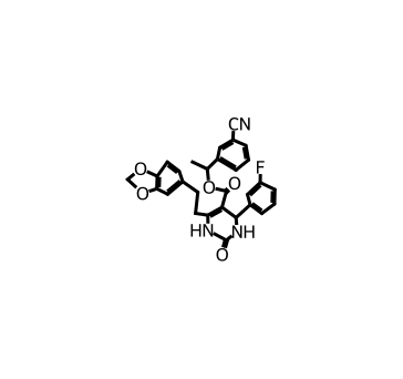 CC(OC(=O)C1=C(CCc2ccc3c(c2)OCO3)NC(=O)NC1c1cccc(F)c1)c1cccc(C#N)c1